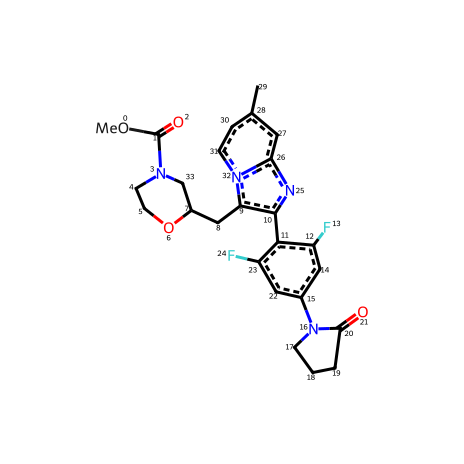 COC(=O)N1CCOC(Cc2c(-c3c(F)cc(N4CCCC4=O)cc3F)nc3cc(C)ccn23)C1